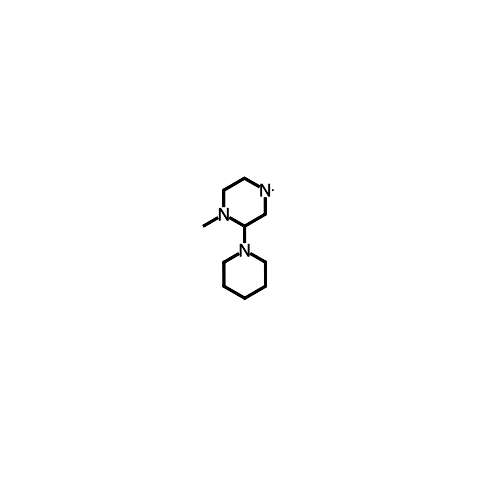 CN1CC[N]CC1N1CCCCC1